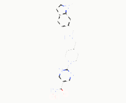 Cn1ccc2ccc(CNCC3CCN(c4ncc(C(=O)NO)cn4)CC3)cc21